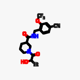 CCC(O)C(=O)N1CCCC(C(=O)NCc2ccc(C#N)cc2OC(F)(F)F)C1